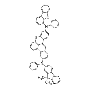 CC1(C)c2ccccc2-c2ccc(N(c3ccccc3)c3ccc4cc5c6c(cccc6c4c3)Sc3cc(N(c4ccccc4)c4cccc6c4oc4ccccc46)ccc3-5)cc21